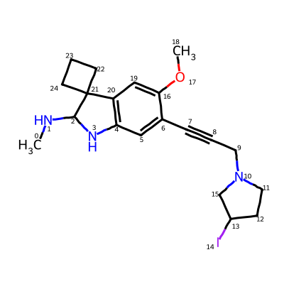 CNC1Nc2cc(C#CCN3CCC(I)C3)c(OC)cc2C12CCC2